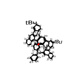 CC(C)(C)c1ccc2c(c1)c1cc3ccccc3c3c4cc5c(cc4n2c13)c1cc(C(C)(C)C)cc2c3c4ccccc4cc(N(c4ccccc4)c4ccccc4)c3n5c12